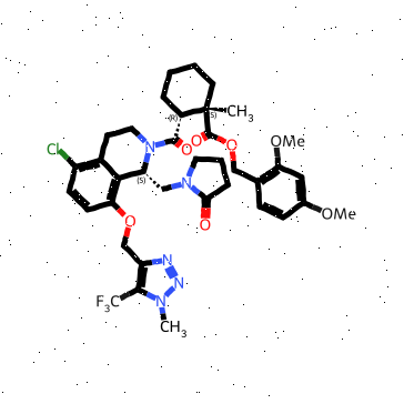 COc1ccc(COC(=O)[C@@]2(C)CCCC[C@H]2C(=O)N2CCc3c(Cl)ccc(OCc4nnn(C)c4C(F)(F)F)c3[C@H]2CN2CCCC2=O)c(OC)c1